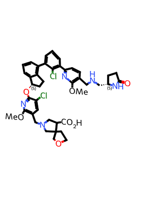 COc1nc(-c2cccc(-c3cccc4c3CC[C@@H]4Oc3nc(OC)c(CN4CC(C(=O)O)C5(CCOC5)C4)cc3Cl)c2Cl)ccc1CNC[C@@H]1CCC(=O)N1